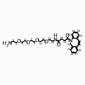 NCCOCCOCCOCCOCCNC(=O)CCC(=O)N1Cc2ccccc2C#Cc2ccccc21